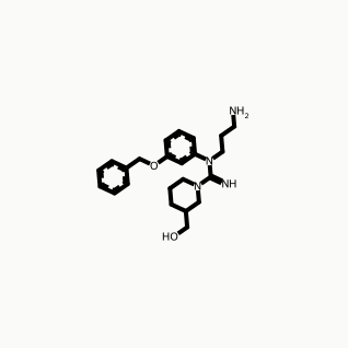 N=C(N1CCCC(CO)C1)N(CCCN)c1cccc(OCc2ccccc2)c1